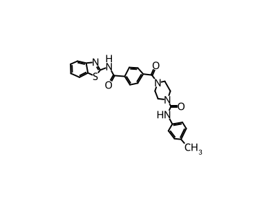 Cc1ccc(NC(=O)N2CCN(C(=O)c3ccc(C(=O)Nc4nc5ccccc5s4)cc3)CC2)cc1